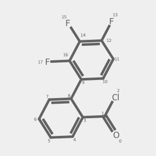 O=C(Cl)c1ccccc1-c1ccc(F)c(F)c1F